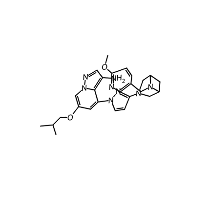 COc1ccc(CN2C3CC2CN(c2ccn(-c4cc(OCC(C)C)cn5ncc(N)c45)n2)C3)cn1